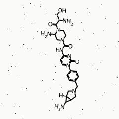 NC(CO)C(=O)N1CCN(C(=O)Nc2ccn(-c3ccc(CN4CC5C(N)[C@@H]5C4)cc3)c(=O)n2)C[C@H]1N